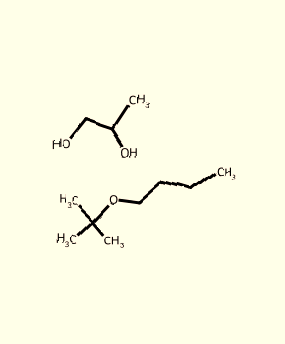 CC(O)CO.CCCCOC(C)(C)C